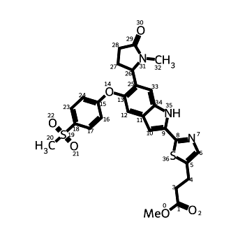 COC(=O)CCc1cnc(-c2cc3cc(Oc4ccc(S(C)(=O)=O)cc4)c(C4CCC(=O)N4C)cc3[nH]2)s1